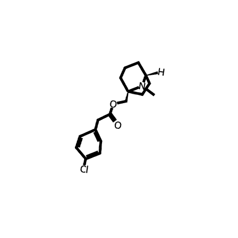 CN1[C@@H]2CCC[C@@]1(COC(=O)Cc1ccc(Cl)cc1)CC2